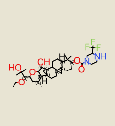 CCO[C@@H](C1C[C@@H](C)[C@H]2C(O1)[C@H](O)[C@@]1(C)C3CC[C@H]4C(C)(C)[C@@H](OC(=O)N5CCNC(C(F)(F)F)C5)CC[C@@]45C[C@@]35CC[C@]21C)C(C)(C)O